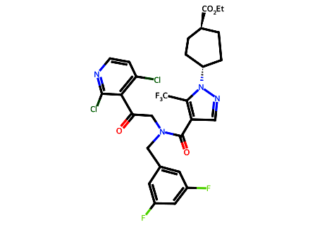 CCOC(=O)[C@H]1CC[C@H](n2ncc(C(=O)N(CC(=O)c3c(Cl)ccnc3Cl)Cc3cc(F)cc(F)c3)c2C(F)(F)F)CC1